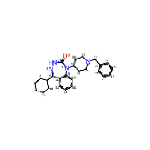 O=C1NN=C(C2CCCCC2)c2ccccc2N1C1CCN(Cc2ccccc2)CC1